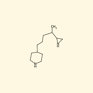 CC(CCCC1CCNCC1)C1CN1